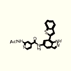 CC(=O)Nc1cc(C(=O)Nc2cc(-c3cc4ccccc4s3)c3[nH]ncc3c2)ccn1